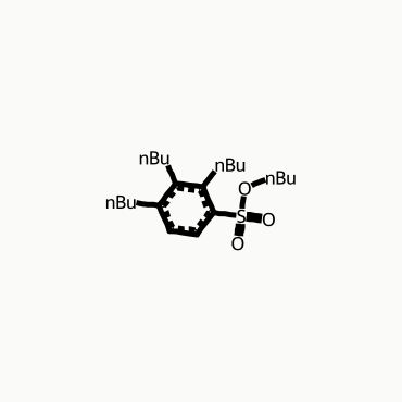 CCCCOS(=O)(=O)c1ccc(CCCC)c(CCCC)c1CCCC